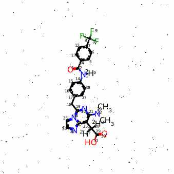 [2H]N(C(=O)c1ccc(C(F)(F)F)cc1)c1ccc(Cc2nc(N(C)C)c(C([2H])([2H])C(=O)O)c3nccn23)cc1